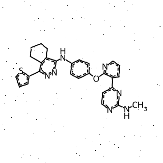 CNc1nccc(-c2cccnc2Oc2ccc(Nc3nnc(-c4cccs4)c4c3CCCC4)cc2)n1